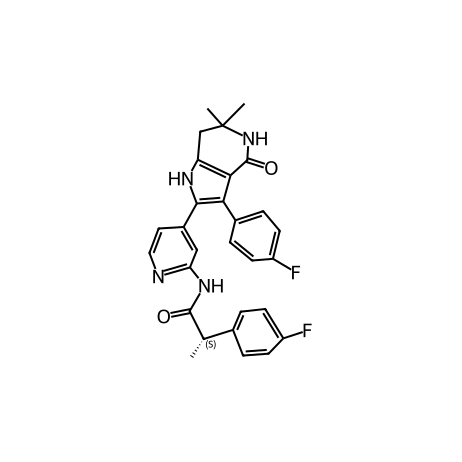 C[C@H](C(=O)Nc1cc(-c2[nH]c3c(c2-c2ccc(F)cc2)C(=O)NC(C)(C)C3)ccn1)c1ccc(F)cc1